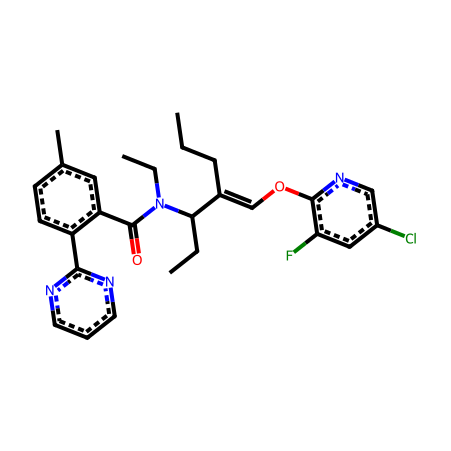 CCC/C(=C\Oc1ncc(Cl)cc1F)C(CC)N(CC)C(=O)c1cc(C)ccc1-c1ncccn1